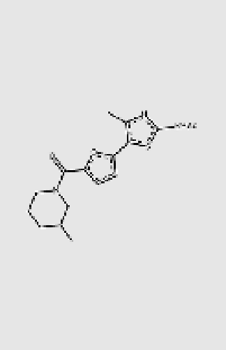 CC(=O)Nc1nc(C)c(-c2ccc(C(=O)N3CCCC(C)C3)o2)s1